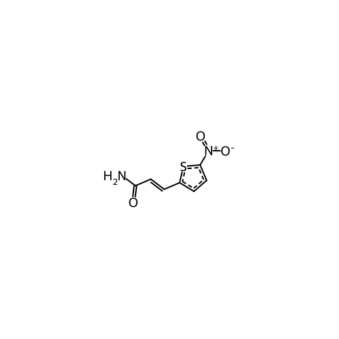 NC(=O)C=Cc1ccc([N+](=O)[O-])s1